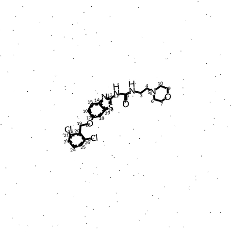 O=C(NCCN1CCOCC1)Nc1nc2ccc(OCc3c(Cl)cccc3Cl)cc2s1